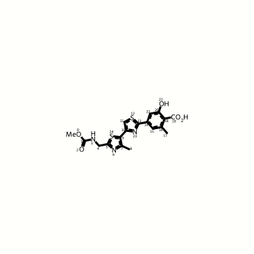 COC(=O)NCc1nc(C)c(-c2csc(-c3cc(C)c(C(=O)O)c(O)c3)n2)s1